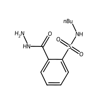 CCCCNS(=O)(=O)c1ccccc1C(=O)NN